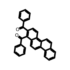 O=C(c1ccccc1)c1ccc2c(ccc3c4ccccc4ccc23)c1C(=O)c1ccccc1